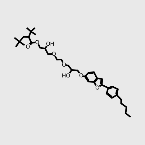 CCCCCc1ccc(-c2cc3ccc(OCC(O)COCCOCC(O)COC(=O)C(CC(C)(C)C)C(C)(C)C)cc3o2)cc1